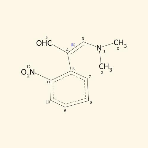 CN(C)/C=C(/C=O)c1ccccc1[N+](=O)[O-]